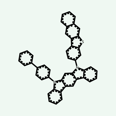 c1ccc(-c2ccc(-n3c4ccccc4c4cc5c6ccccc6n(-c6ccc7c(c6)sc6cc8ccccc8cc67)c5cc43)cc2)cc1